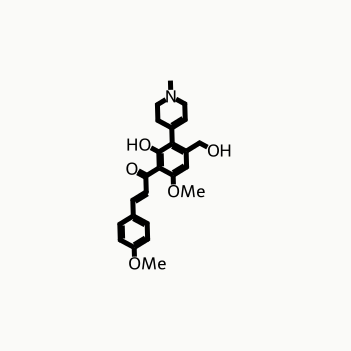 COc1ccc(/C=C/C(=O)c2c(OC)cc(CO)c(C3=CCN(C)CC3)c2O)cc1